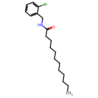 CCCCCCCCCCCC(=O)NCc1ccccc1Br